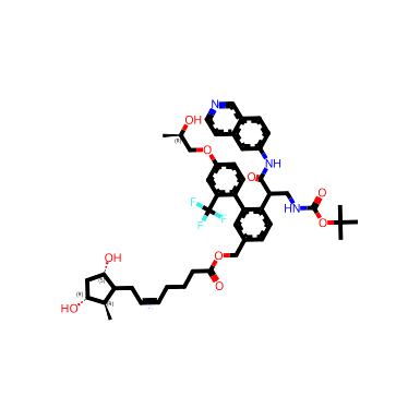 C[C@@H]1C(C/C=C\CCCC(=O)OCc2ccc(C(CNC(=O)OC(C)(C)C)C(=O)Nc3ccc4cnccc4c3)c(-c3ccc(OC[C@@H](C)O)cc3C(F)(F)F)c2)[C@@H](O)C[C@H]1O